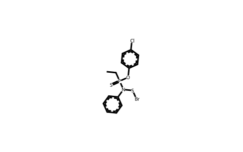 CCP(=S)(Oc1ccc(Cl)cc1)N(SBr)c1ccccc1